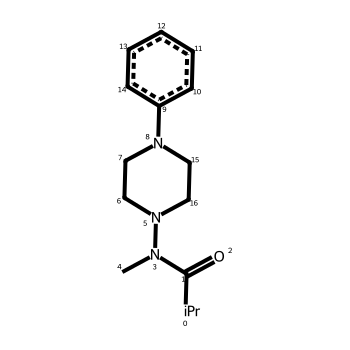 CC(C)C(=O)N(C)N1CCN(c2ccccc2)CC1